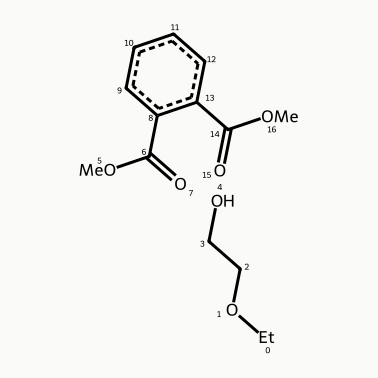 CCOCCO.COC(=O)c1ccccc1C(=O)OC